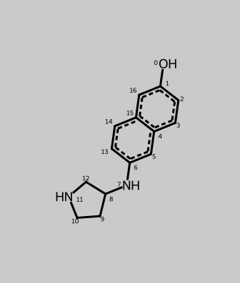 Oc1ccc2cc(NC3CCNC3)ccc2c1